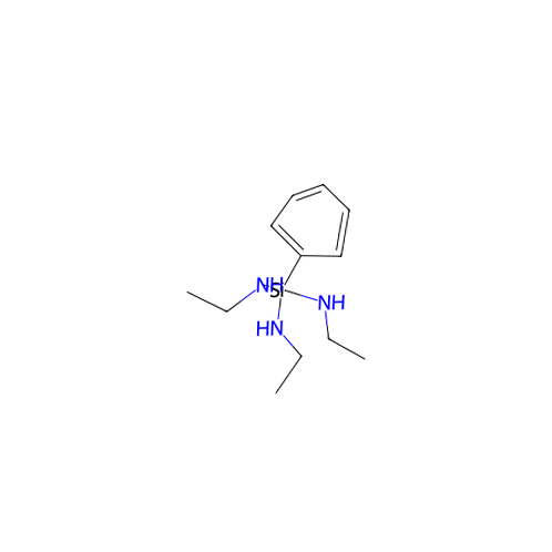 CCN[Si](NCC)(NCC)c1ccccc1